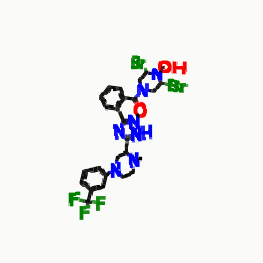 O=C(c1ccccc1-c1n[nH]c(C2CN(c3cccc(C(F)(F)F)c3)CC[N]2)n1)N1CC(Br)N(O)C(Br)C1